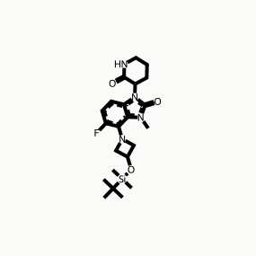 Cn1c(=O)n(C2CCCNC2=O)c2ccc(F)c(N3CC(O[Si](C)(C)C(C)(C)C)C3)c21